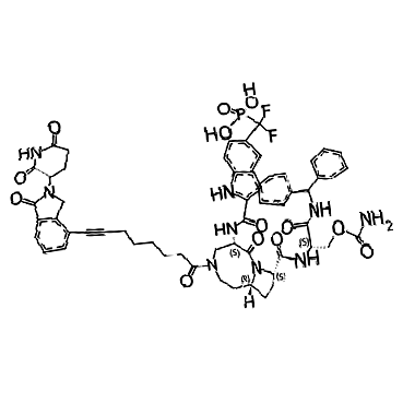 NC(=O)OC[C@H](NC(=O)[C@@H]1CC[C@@H]2CCN(C(=O)CCCCCC#Cc3cccc4c3CN(C3CCC(=O)NC3=O)C4=O)C[C@H](NC(=O)c3cc4cc(C(F)(F)P(=O)(O)O)ccc4[nH]3)C(=O)N21)C(=O)NC(c1ccccc1)c1ccccc1